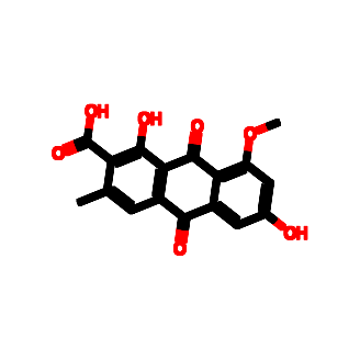 COc1cc(O)cc2c1C(=O)c1c(cc(C)c(C(=O)O)c1O)C2=O